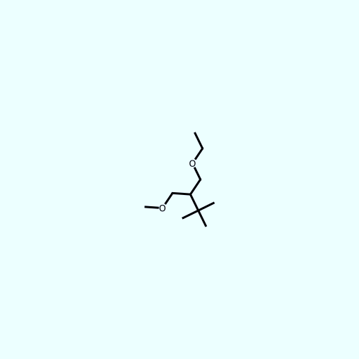 CCOCC(COC)C(C)(C)C